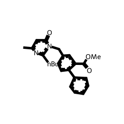 CCCCc1nc(C)cc(=O)n1Cc1ccc(-c2ccccc2)c(C(=O)OC)c1